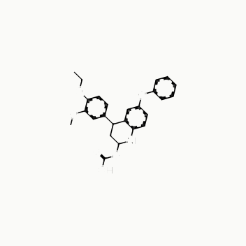 CCOc1ccc(C2CC(OC(=O)O)Nc3ccc(Oc4ccccc4)cc32)cc1OC